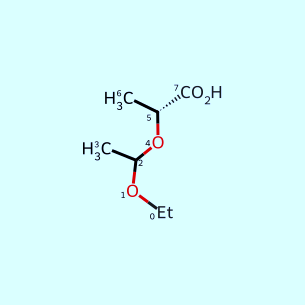 CCOC(C)O[C@H](C)C(=O)O